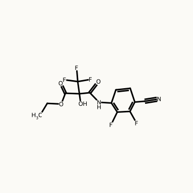 CCOC(=O)C(O)(C(=O)Nc1ccc(C#N)c(F)c1F)C(F)(F)F